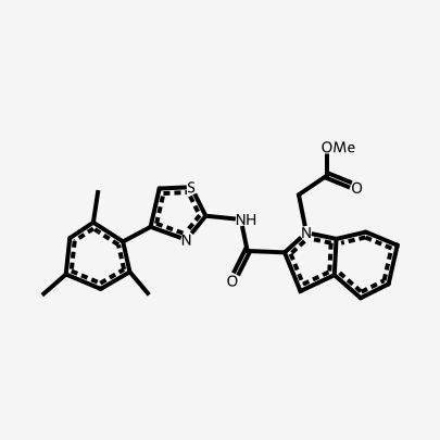 COC(=O)Cn1c(C(=O)Nc2nc(-c3c(C)cc(C)cc3C)cs2)cc2ccccc21